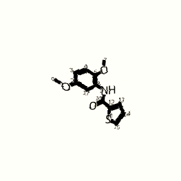 COc1ccc(OC)c(NC(=O)c2cccs2)c1